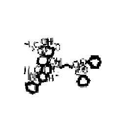 CC1(C)O[C@@]23CCC4(C)[C@@]5(C)c6[nH]c7ccccc7c6C[C@@H]5C[C@H](OCCCOP(=O)(Oc5ccccc5)Oc5ccccc5)[C@@]4(O)C2=CC(=O)[C@@H]1O3